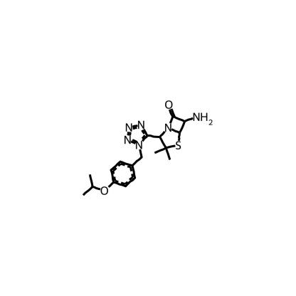 CC(C)Oc1ccc(Cn2nnnc2C2N3C(=O)C(N)C3SC2(C)C)cc1